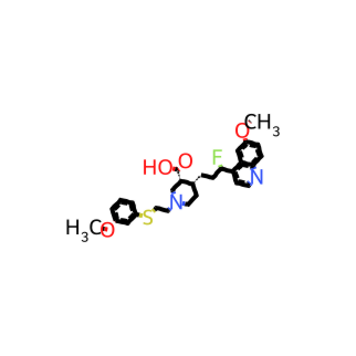 COc1cccc(SCCN2CC[C@@H](CCC(F)c3ccnc4ccc(OC)cc34)[C@@H](C(=O)O)C2)c1